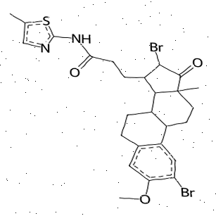 COc1cc2c(cc1Br)C1CCC3(C)C(=O)C(Br)C(CCC(=O)Nc4ncc(C)s4)C3C1CC2